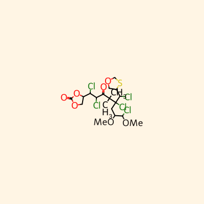 COC(Cl)C(CC(Cl)(C(Cl)C1COCS1)C(C)(C)C(=O)C(Cl)C(Cl)C1COC(=O)O1)OC